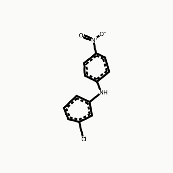 O=[N+]([O-])c1ccc(Nc2cccc(Cl)c2)cc1